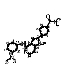 CN(C)C(=O)c1ccc(-c2cc3c(Nc4cccc(N(C)C)c4)nccc3n2C)cc1